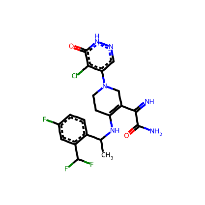 CC(NC1=C(C(=N)C(N)=O)CN(c2cn[nH]c(=O)c2Cl)CC1)c1ccc(F)cc1C(F)F